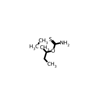 CC.CCC(C)OC(N)=S